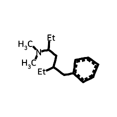 CCC(Cc1ccccc1)CC(CC)N(C)C